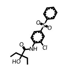 CCC(O)(CC)C(=O)Nc1ccc(S(=O)(=O)c2ccccc2)cc1Cl